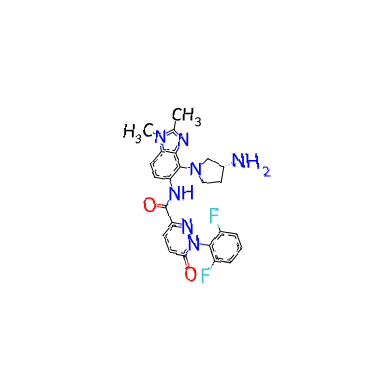 Cc1nc2c(N3CC[C@@H](N)C3)c(NC(=O)c3ccc(=O)n(-c4c(F)cccc4F)n3)ccc2n1C